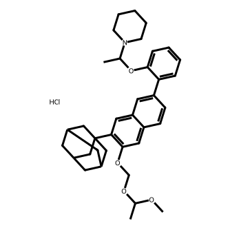 COC(C)OCOc1cc2ccc(-c3ccccc3OC(C)N3CCCCC3)cc2cc1C12CC3CC(CC(C3)C1)C2.Cl